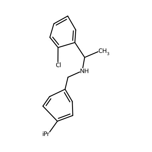 CC(C)c1ccc(CNC(C)c2ccccc2Cl)cc1